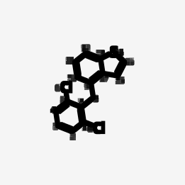 Clc1cccc(Cl)c1Cc1cccc2sccc12